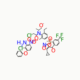 CCc1cccc(C)c1N(C(=O)CCl)C(C)COC.CS(=O)(=O)c1cc(C(F)(F)F)ccc1C(=O)c1cnoc1C1CC1.Nc1c([N+](=O)[O-])ccc(Oc2ccccc2)c1Cl